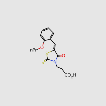 CCCOc1ccccc1/C=C1\SC(=S)N(CCC(=O)O)C1=O